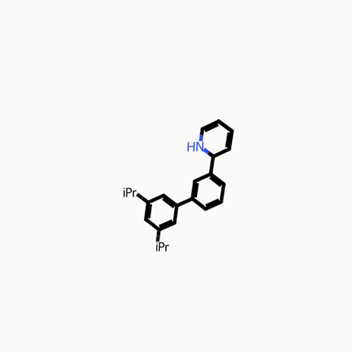 CC(C)c1cc(-c2cccc(C3C=CC=CN3)c2)cc(C(C)C)c1